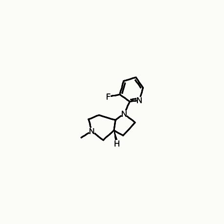 CN1CCC2[C@H](CCN2c2ncccc2F)C1